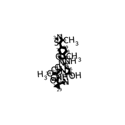 Cc1ncsc1-c1ccc(C2(C)NC([C@H]3C[C@@H](O)CN3C(=O)C(NC(=O)C3(C#N)CC3)C(C)(C)C)=NC2=O)cc1